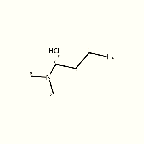 CN(C)CCCI.Cl